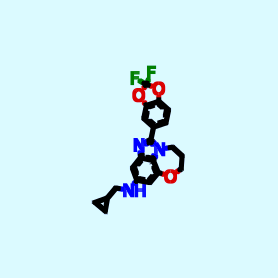 FC1(F)Oc2ccc(-c3nc4cc(NCC5CC5)cc5c4n3CCCO5)cc2O1